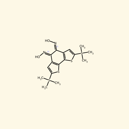 CS(C)(C)c1cc2c(s1)-c1sc(S(C)(C)C)cc1C(=N\O)/C2=N\O